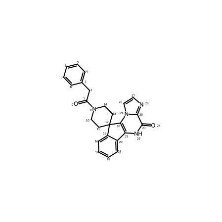 O=C(Cc1ccccc1)N1CCC2(CC1)c1ccccc1-c1[nH]c(=O)c3nccn3c12